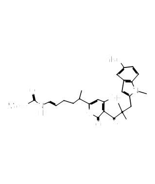 CCCCc1ccc2c(c1)cc(CC(C)(C)C(=O)c1c(O)cc(C(C)CC/C=C/NC(=O)OC)oc1=O)n2C